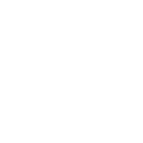 CCOC(=O)c1c(P(=O)(OCC)c2cccc3ccccc23)c2cc(Cl)ccc2n1S(=O)(=O)c1ccccc1